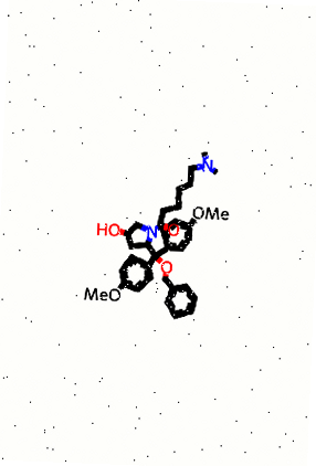 COc1ccc(C(OCc2ccccc2)(c2ccc(OC)cc2)C2CC(O)CN2C(=O)CCCCCN(C)C)cc1